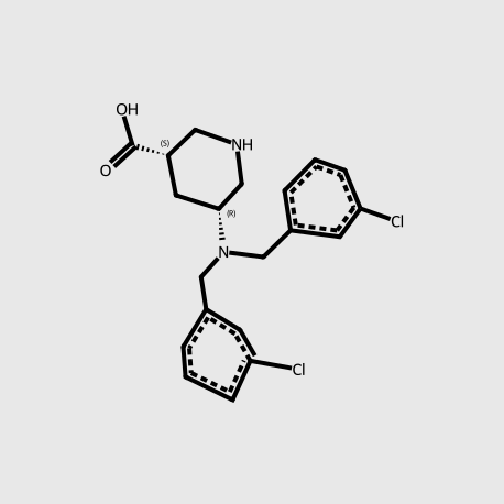 O=C(O)[C@@H]1CNC[C@H](N(Cc2cccc(Cl)c2)Cc2cccc(Cl)c2)C1